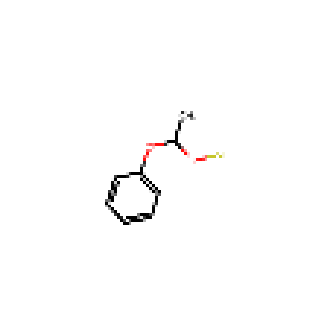 [CH2]C(OS)Oc1ccccc1